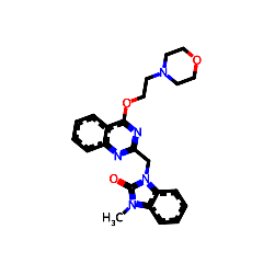 Cn1c(=O)n(Cc2nc(OCCN3CCOCC3)c3ccccc3n2)c2ccccc21